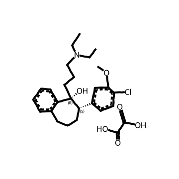 CCN(CC)CCC[C@]1(O)c2ccccc2CCC[C@H]1c1ccc(Cl)c(OC)c1.O=C(O)C(=O)O